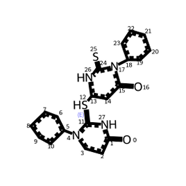 O=c1ccn(-c2ccccc2)/c(=[SH]/c2cc(=O)n(-c3ccccc3)c(=S)[nH]2)[nH]1